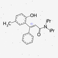 Cc1ccc(O)c(/C(=C/C(=O)N(C(C)C)C(C)C)c2ccccc2)c1